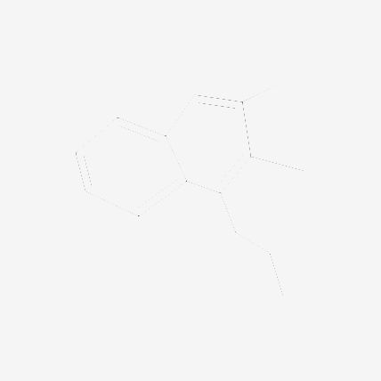 CCCc1c(C)c(C)cc2ccccc12